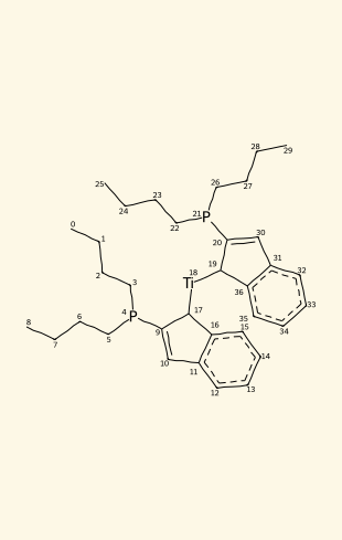 CCCCP(CCCC)C1=Cc2ccccc2[CH]1[Ti][CH]1C(P(CCCC)CCCC)=Cc2ccccc21